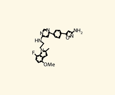 COc1ccc(F)c2c1cc(C)n2CCNc1cc(-c2ccc(-c3cc(N)no3)cc2)ncn1